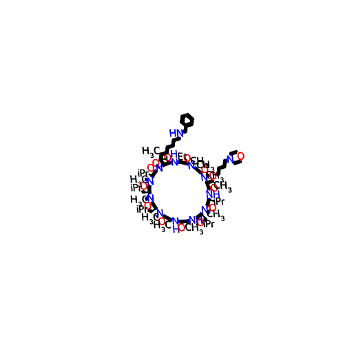 CC[C@@H]1NC(=O)[C@@H]2[C@@H]([C@H](C)CCCCCNCc3ccccc3)ON2C(=O)[C@H](C(C)C)N(C)C(=O)[C@H](CC(C)C)N(C)C(=O)[C@H](CC(C)C)N(C)C(=O)[C@@H](C)NC(=O)[C@H](C)NC(=O)[C@H](CC(C)C)N(C)C(=O)[C@H](C(C)C)NC(=O)[C@H]([C@@H](C)OCCCCN2CCOCC2)N(C)C(=O)[C@@H](C)N(C)C1=O